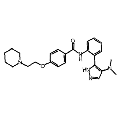 CN(C)c1cn[nH]c1-c1ccccc1NC(=O)c1ccc(OCCN2CCCCC2)cc1